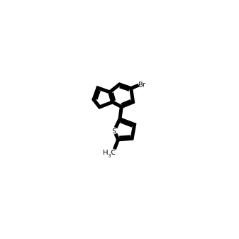 Cc1ccc(-c2cc(Br)cc3c2CC=C3)s1